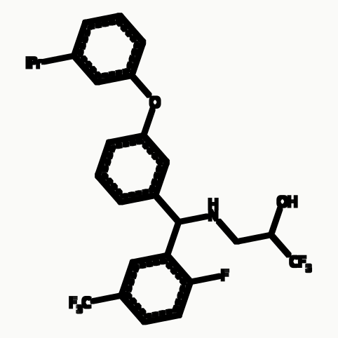 CC(C)c1cccc(Oc2cccc(C(NCC(O)C(F)(F)F)c3cc(C(F)(F)F)ccc3F)c2)c1